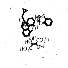 CSc1ccccc1ON(C(C)=O)[C@H]1CC[C@@]2(O)[C@H]3Cc4ccc(O)c5c4[C@@]2(CCN3CC2CC2)[C@H]1O5.O=C(O)C(O)C(O)C(=O)O